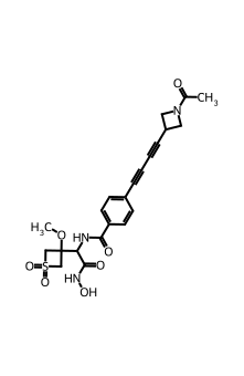 COC1(C(NC(=O)c2ccc(C#CC#CC3CN(C(C)=O)C3)cc2)C(=O)NO)CS(=O)(=O)C1